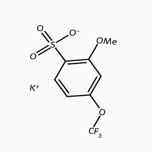 COc1cc(OC(F)(F)F)ccc1S(=O)(=O)[O-].[K+]